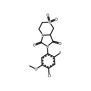 COc1cc(N2C(=O)C3CS(=O)(=O)CCN3C2=O)c(F)cc1Cl